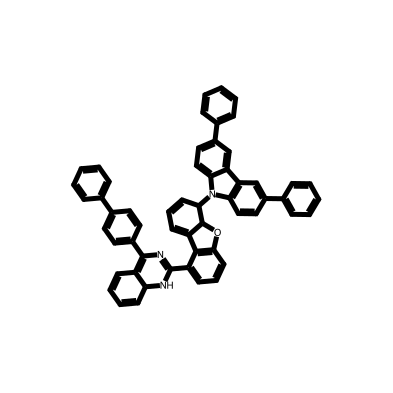 C1=CC2=C(c3ccc(-c4ccccc4)cc3)N=C(c3cccc4c3C3=CC=CC(n5c6ccc(-c7ccccc7)cc6c6cc(-c7ccccc7)ccc65)C3O4)NC2C=C1